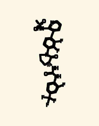 CS(=O)(=O)Nc1ncccc1-c1ccc(N2CCC[C@@H](NC(=O)Nc3ccc(C(F)(F)F)cc3F)C2=O)c(F)c1F